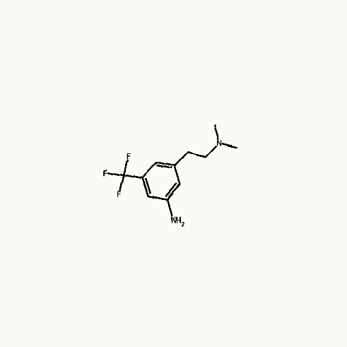 CN(C)CCc1cc(N)cc(C(F)(F)F)c1